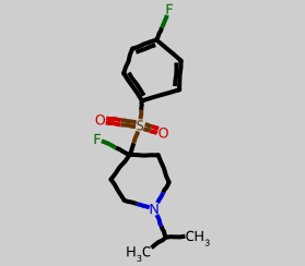 CC(C)N1CCC(F)(S(=O)(=O)c2ccc(F)cc2)CC1